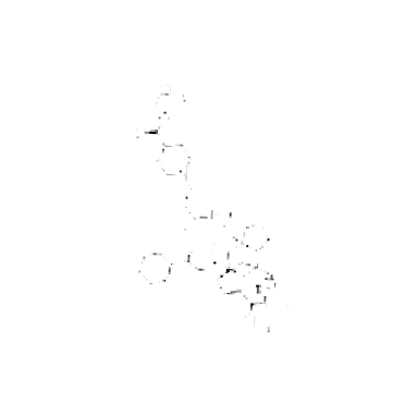 CCOC(=O)C1CCN(CCNC[C@@H]2O[C@@H](C34C[C@@H]5[C@H](C)CC[C@H]5C5(C=O)CC3C=C(C(C)C)[C@]54C(=O)O)C[C@H]2C2CCCCC2)CC1